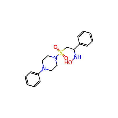 O=S(=O)(CC(NO)c1ccccc1)N1CCN(c2ccccc2)CC1